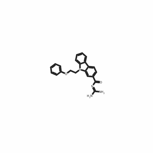 NC(N)=NC(=O)c1ccc2c3ccccc3n(CCOc3ccccc3)c2c1